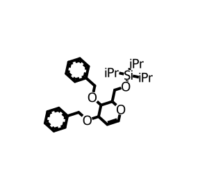 CC(C)[Si](OCC1OC=CC(OCc2ccccc2)C1OCc1ccccc1)(C(C)C)C(C)C